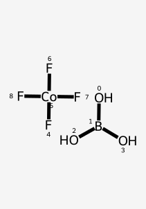 OB(O)O.[F][Co]([F])([F])[F]